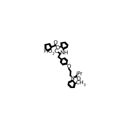 Cc1ccccc1N(CCCOc1ccc(CC(Nc2ccccc2OC(=O)c2ccccc2)C(=O)O)cc1)C(=O)C(C)C